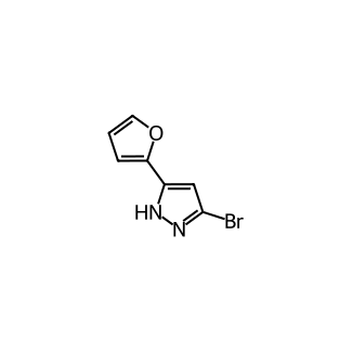 Brc1cc(-c2ccco2)[nH]n1